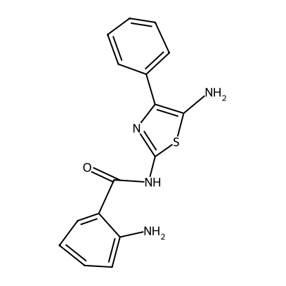 Nc1ccccc1C(=O)Nc1nc(-c2ccccc2)c(N)s1